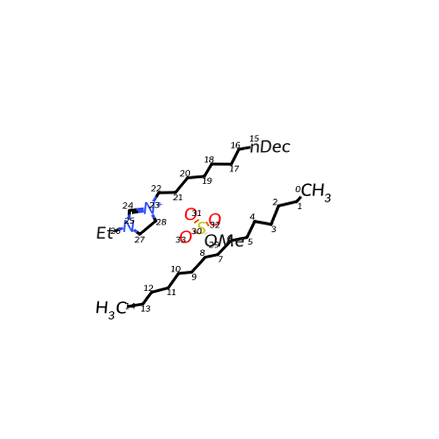 CCCCCCCCCCCCCCC.CCCCCCCCCCCCCCCCC[N+]1=CN(CC)CC1.COS(=O)(=O)[O-]